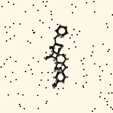 O=C(Cc1ccccc1)N[C@@H]1C(=O)N2C(C(=O)O)=C(Cc3ccc(O)cc3)CS[C@@H]12